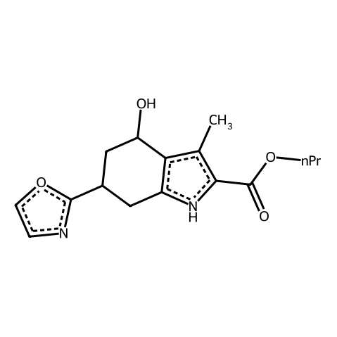 CCCOC(=O)c1[nH]c2c(c1C)C(O)CC(c1ncco1)C2